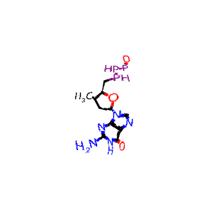 CC1C[C@H](n2cnc3c(=O)[nH]c(N)nc32)O[C@@H]1CPPP=O